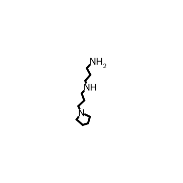 NCCCNCCCN1CCCC1